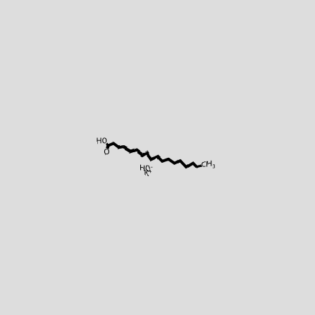 CCCCCCCCCCCCCCCCCC(=O)O.[K+].[OH-]